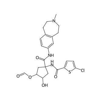 CN1CCc2ccc(NC(=O)C3(NC(=O)c4ccc(Cl)s4)CC(O)C(OC=O)C3)cc2CC1